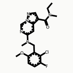 CCN(C)C(=O)c1cnn2cnc(N(C)Cc3c(OC)ccc(F)c3Cl)cc12